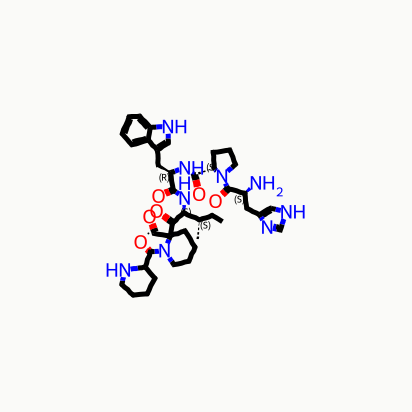 CC[C@H](C)[C@H](NC(=O)[C@@H](Cc1c[nH]c2ccccc12)NC(=O)[C@@H]1CCCN1C(=O)[C@@H](N)Cc1c[nH]cn1)C(=O)C1([C]=O)CCCCN1C(=O)C1CCCCN1